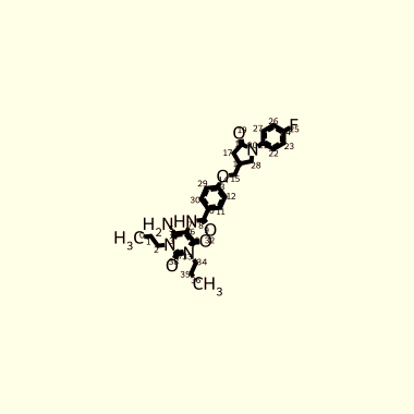 CCCn1c(N)c(NC(=O)c2ccc(OCC3CC(=O)N(c4ccc(F)cc4)C3)cc2)c(=O)n(CCC)c1=O